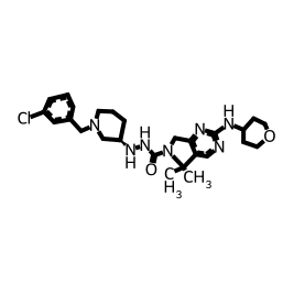 CC1(C)c2cnc(NC3CCOCC3)nc2CN1C(=O)NN[C@@H]1CCCN(Cc2cccc(Cl)c2)C1